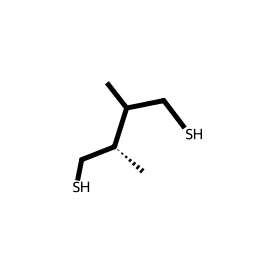 CC(CS)[C@H](C)CS